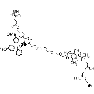 COc1ccc(C(OC[C@H](NC(=O)CCOCCOCCOCCOCCOc2c(C)c(C)c3c(c2C)CC[C@@](C)(CCC[C@H](C)CCC[C@H](C)CCCC(C)C)O3)C(=O)N2CCC(COC(=O)CCC(=O)NO)CC2)(c2ccccc2)c2ccc(OC)cc2)cc1